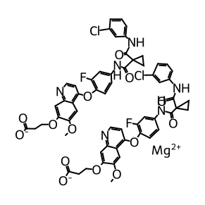 COc1cc2c(Oc3ccc(NC(=O)C4(C(=O)Nc5cccc(Cl)c5)CC4)cc3F)ccnc2cc1OCCC(=O)[O-].COc1cc2c(Oc3ccc(NC(=O)C4(C(=O)Nc5cccc(Cl)c5)CC4)cc3F)ccnc2cc1OCCC(=O)[O-].[Mg+2]